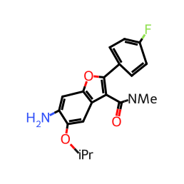 CNC(=O)c1c(-c2ccc(F)cc2)oc2cc(N)c(OC(C)C)cc12